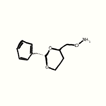 NOCC1CCO[C@H](c2ccccc2)O1